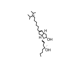 CCCC[C@](C)(O)C/C=C/[C@@H]1[C@H]2CC(CCCCCCN(C(C)C)C(C)C)=C[C@H]2C[C@H]1O